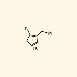 CC(C)CC1=[C]([Ti])CC=C1.Cl